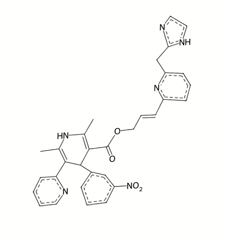 CC1=C(C(=O)OCC=Cc2cccc(Cc3ncc[nH]3)n2)C(c2cccc([N+](=O)[O-])c2)C(c2ccccn2)=C(C)N1